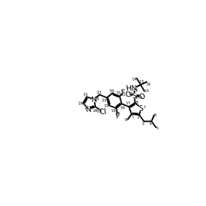 Cc1c(CC(C)C)sc(S(=O)(=O)NC(C)(C)C)c1-c1c(F)cc(Cn2ccnc2Cl)cc1F